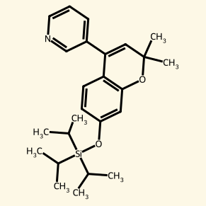 CC(C)[Si](Oc1ccc2c(c1)OC(C)(C)C=C2c1cccnc1)(C(C)C)C(C)C